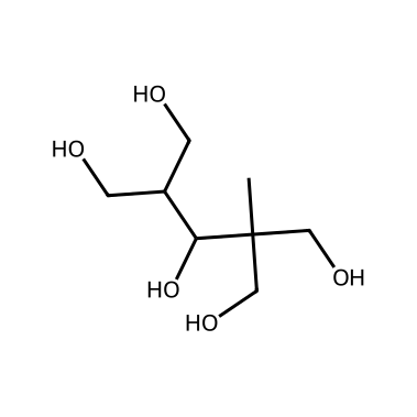 CC(CO)(CO)C(O)C(CO)CO